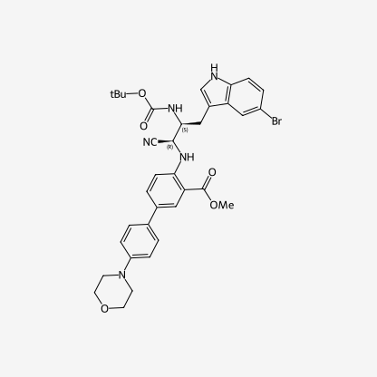 COC(=O)c1cc(-c2ccc(N3CCOCC3)cc2)ccc1N[C@@H](C#N)[C@H](Cc1c[nH]c2ccc(Br)cc12)NC(=O)OC(C)(C)C